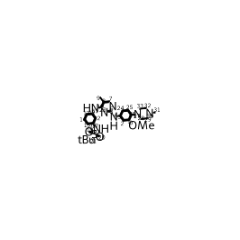 COc1cc(Nc2ncc(C)c(Nc3cccc(NS(=O)(=O)C(C)(C)C)c3)n2)ccc1N1CCN(C)CC1